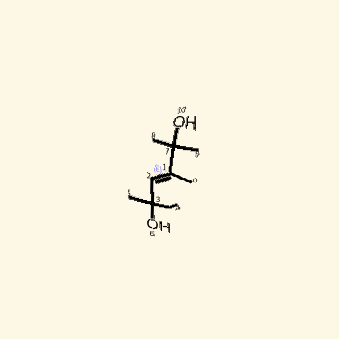 C/C(=C\C(C)(C)O)C(C)(C)O